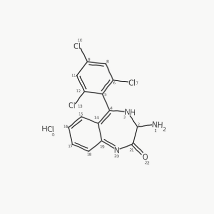 Cl.NC1NC(c2c(Cl)cc(Cl)cc2Cl)=c2ccccc2=NC1=O